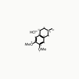 COc1cc2c(cc1OC)CN(C)CC2.Cl